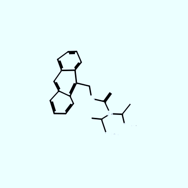 CCCCCCC(C)N(C(=O)OCc1c2ccccc2cc2ccccc12)C(C)CCCCCC